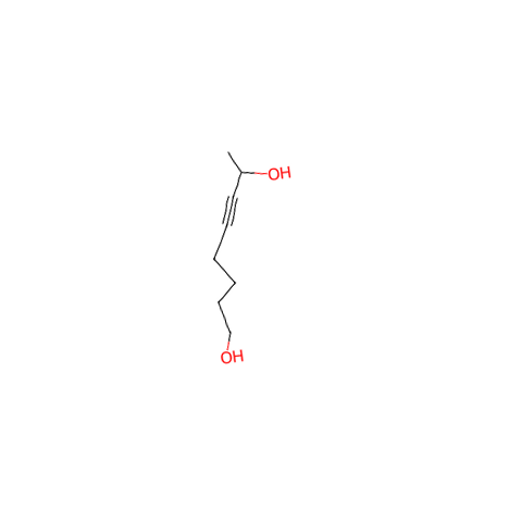 CC(O)C#CCCCCO